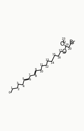 CCCCCC=CCC=CCCCCCCCCOC(CBr)OC